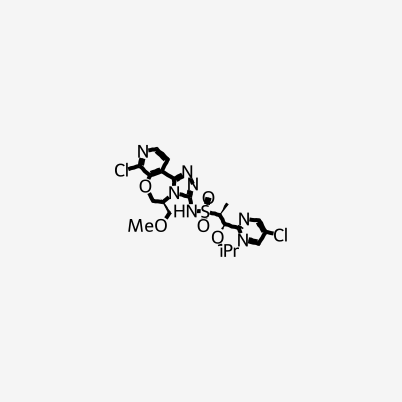 COC[C@H]1COc2c(ccnc2Cl)-c2nnc(NS(=O)(=O)[C@@H](C)[C@@H](OC(C)C)c3ncc(Cl)cn3)n21